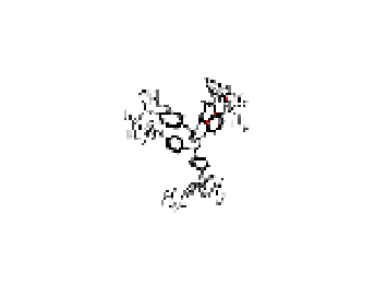 CN(C)c1ccc(C(=CC(C=C(c2ccc(N(C)C)cc2)c2ccc(N(C)C)cc2)c2ccc(N(C)C)cc2)c2ccc(N(C)C)cc2)cc1